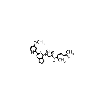 C=C(/C=C\C=C(/C)F)NC(=O)CN(C)c1nc(-c2cc(OC)ccn2)nc2c1CCC2